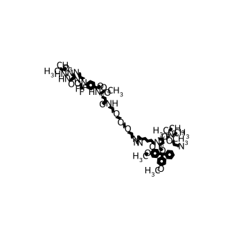 COC(=O)[C@H](CCC(=O)NCCCOCCOCCOCCCn1cc(CCCC(=O)N2C[C@H](OP(OCCC#N)N(C(C)C)C(C)C)C[C@H]2COC(c2ccccc2)(c2ccc(OC)cc2)c2ccc(OC)cc2)nn1)NC(=O)c1ccc(N(Cc2cnc3nc(NC(=O)C(C)C)[nH]c(=O)c3n2)C(=O)C(F)(F)F)cc1